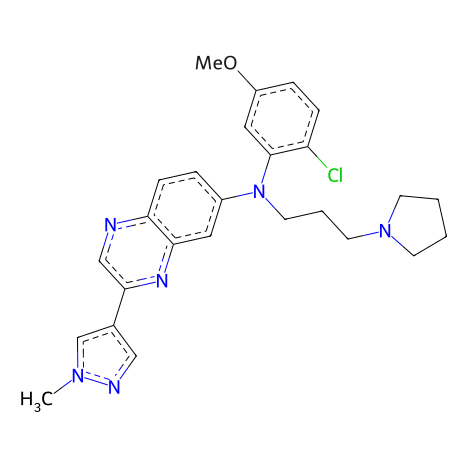 COc1ccc(Cl)c(N(CCCN2CCCC2)c2ccc3ncc(-c4cnn(C)c4)nc3c2)c1